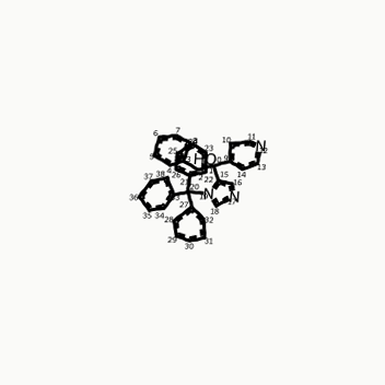 OC(Cc1ccccc1)(c1ccncc1)c1cncn1C(c1ccccc1)(c1ccccc1)c1ccccc1